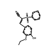 CCOc1cc(C=C(C#N)S(=O)(=O)c2ccccc2)ccc1O